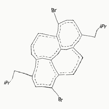 CC(C)Cc1cc(Br)c2ccc3c(CC(C)C)cc(Br)c4ccc1c2c43